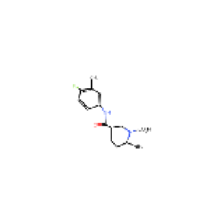 Cc1cc(NC(=O)C2CCC(C(C)(C)C)N(C(=O)O)C2)ccc1F